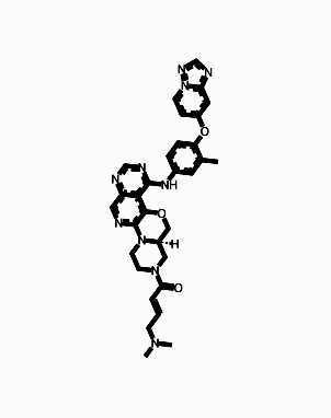 Cc1cc(Nc2ncnc3cnc4c(c23)OC[C@H]2CN(C(=O)/C=C/CN(C)C)CCN42)ccc1Oc1ccn2ncnc2c1